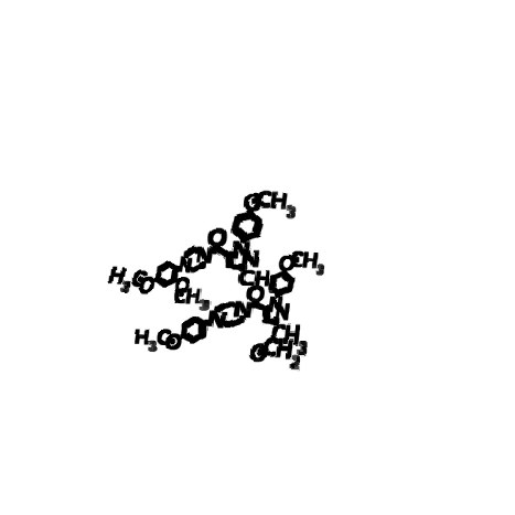 C=O.COc1ccc(-n2nc(C)cc2C(=O)N2CCN(c3ccc(OC)cc3OC)CC2)cc1.COc1ccc(N2CCN(C(=O)c3cc(C)nn3-c3ccc(OC)cc3)CC2)cc1